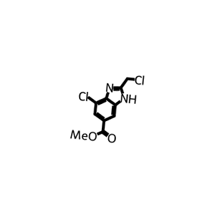 COC(=O)c1cc(Cl)c2nc(CCl)[nH]c2c1